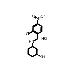 Cl.O=[N+]([O-])c1ccc(CN[C@@H]2CCC[C@H](S)C2)c(Cl)c1